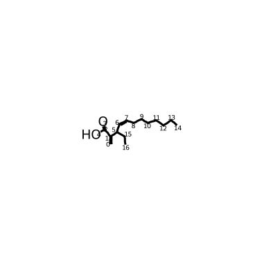 C=C(C(=O)O)C(/C=C\CCCCCCC)CC